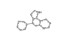 c1ccc(-c2cc3ncncc3c3[nH]ccc23)cc1